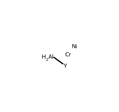 [AlH2][Y].[Cr].[Ni]